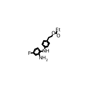 CCC(=O)OCCc1ccc(Nc2ccc(F)cc2N)cc1